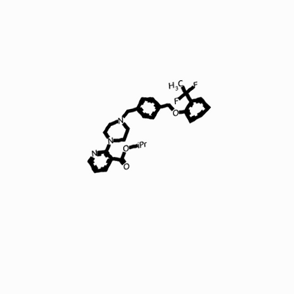 CC(C)OC(=O)c1cccnc1N1CCN(Cc2ccc(COc3ccccc3C(C)(F)F)cc2)CC1